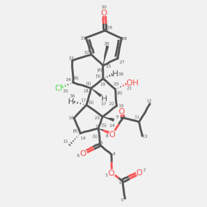 CC(=O)OCC(=O)[C@]1(OC(=O)C(C)C)[C@H](C)C[C@H]2[C@H]3[C@H]([C@H](O)C[C@@]21C)[C@@]1(C)C=CC(=O)C=C1C[C@H]3Cl